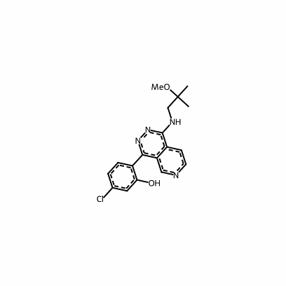 COC(C)(C)CNc1nnc(-c2ccc(Cl)cc2O)c2cnccc12